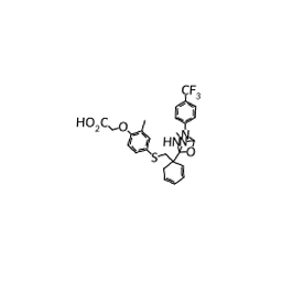 Cc1cc(SCC2(C34NN(c5ccc(C(F)(F)F)cc5)C(O3)N4C)C=CC=CC2)ccc1OCC(=O)O